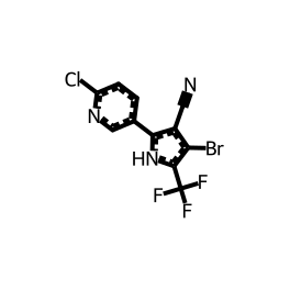 N#Cc1c(-c2ccc(Cl)nc2)[nH]c(C(F)(F)F)c1Br